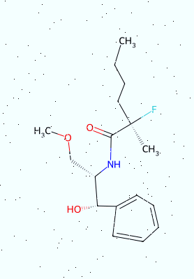 CCCC[C@@](C)(F)C(=O)N[C@@H](COC)[C@@H](O)c1ccccc1